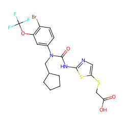 O=C(O)CSc1cnc(NC(=O)N(CC2CCCC2)c2ccc(Br)c(OC(F)(F)F)c2)s1